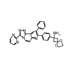 NC1(c2ccc(-c3nc4ccn5c(-c6ncccn6)nnc5c4cc3-c3ccccc3)cc2)CC2(C1)OCCO2